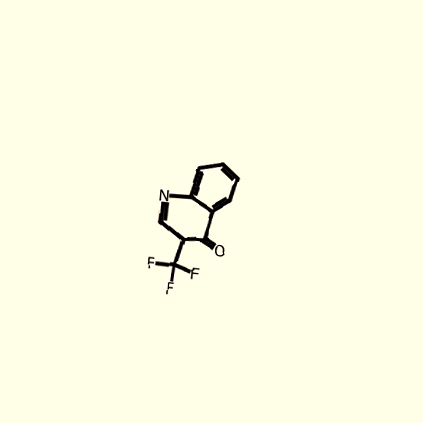 O=C1c2ccccc2N=CC1C(F)(F)F